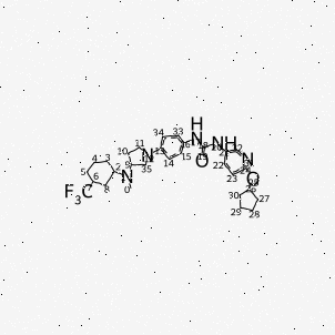 CN(C1CCCC(C(F)(F)F)C1)C1CCN(c2ccc(NC(=O)Nc3ccc(OC4CCCC4)nc3)cc2)C1